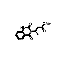 COC(=O)C[C@@H](C)n1c(=O)[nH]c2ccccc2c1=O